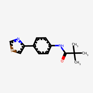 CC(C)(C)C(=O)Nc1ccc(-c2cs[c]n2)cc1